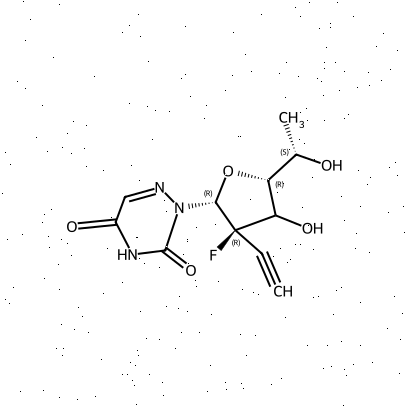 C#C[C@@]1(F)C(O)[C@@H]([C@H](C)O)O[C@H]1n1ncc(=O)[nH]c1=O